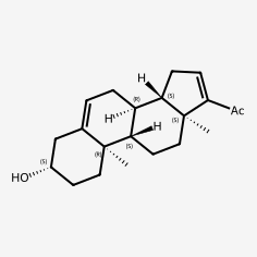 CC(=O)C1=CC[C@H]2[C@@H]3CC=C4C[C@@H](O)CC[C@]4(C)[C@H]3CC[C@]12C